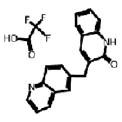 O=C(O)C(F)(F)F.O=c1[nH]c2ccccc2cc1Cc1ccc2ncccc2c1